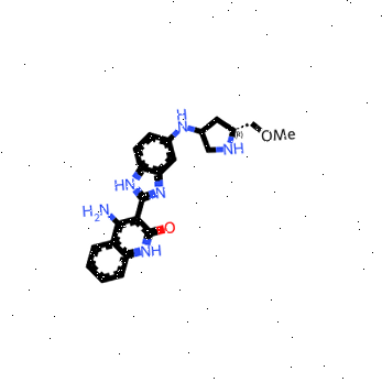 COC[C@H]1CC(Nc2ccc3[nH]c(-c4c(N)c5ccccc5[nH]c4=O)nc3c2)CN1